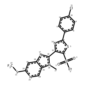 CCS(=O)(=O)c1sc(-c2ccc(Cl)cc2)nc1-c1nc2cc(SC(F)(F)F)ncc2n1C